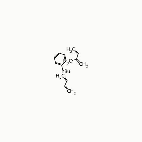 C=CC(=C)C.C=CC=C.CCCCc1ccccc1